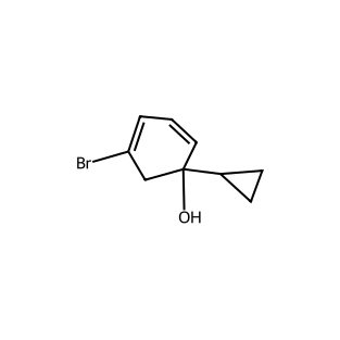 OC1(C2CC2)C=CC=C(Br)C1